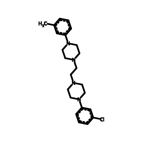 Cc1cccc(N2CCN(CCN3CCN(c4cccc(Cl)c4)CC3)CC2)c1